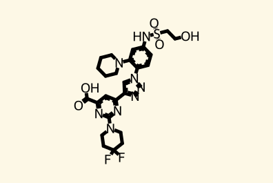 O=C(O)c1cc(-c2cn(-c3ccc(NS(=O)(=O)CCO)cc3N3CCCCC3)nn2)nc(N2CCC(F)(F)CC2)n1